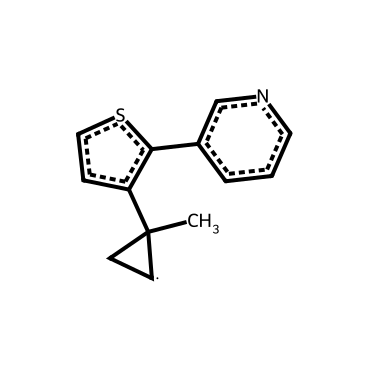 CC1(c2ccsc2-c2cccnc2)[CH]C1